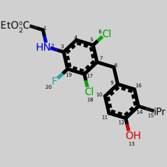 CCOC(=O)CNc1cc(Cl)c(Cc2ccc(O)c(C(C)C)c2)c(Cl)c1F